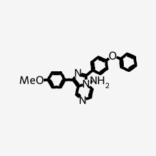 COc1ccc(C2=C3C=NC=C[N+]3(N)C(c3ccc(Oc4ccccc4)cc3)=N2)cc1